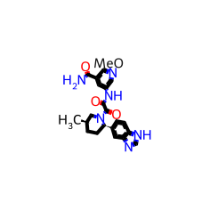 COc1ncc(NC(=O)C(=O)N2C[C@H](C)CC[C@H]2c2ccc3[nH]cnc3c2)cc1C(N)=O